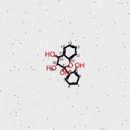 Oc1ccccc1C1(O)Oc2ccccc2C(O)C1O